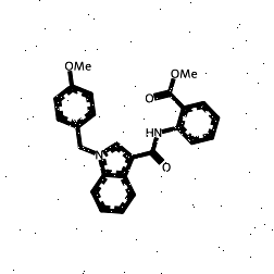 COC(=O)c1ccccc1NC(=O)c1cn(Cc2ccc(OC)cc2)c2ccccc12